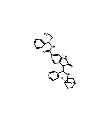 CC[C@@H](NC(=O)c1ccc2c(c1)NC(=O)/C2=C(\N[C@H]1CN2CCC1CC2)c1ccncc1)c1ccccc1